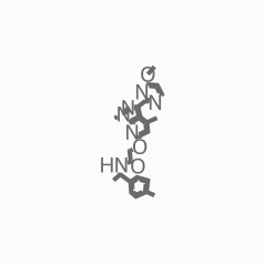 COc1ccnc(-c2nn(C)c3nc(OCC(=O)NC(C)c4ccc(C)cc4)cc(C)c23)n1